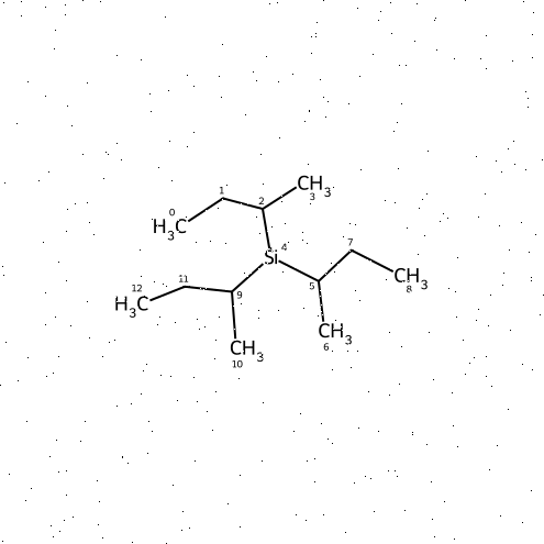 CCC(C)[Si](C(C)CC)C(C)CC